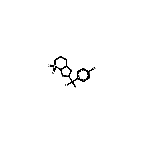 CC(O)(c1ccc(Br)cc1)C1CC2CCCS(=O)(=O)C2C1